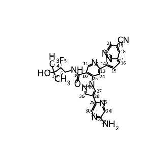 CC(C)(O)[C@H](F)CNC(=O)c1cnc(-c2ccc3cc(C#N)cnn23)cc1-n1cc(-c2cnc(N)cn2)cn1